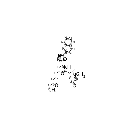 CCC(=O)CCCCC[C@H](NC(=O)C1C[N+](C)(OC=O)C1)c1nnc(-c2ccc3cnccc3n2)o1